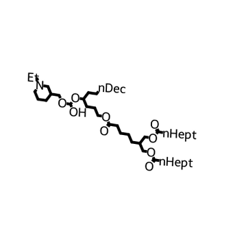 CCCCCCCCCCCCC(CCCOC(=O)CCCCC(COC(=O)CCCCCCC)COC(=O)CCCCCCC)OC(O)OCC1CCCN(CC)C1